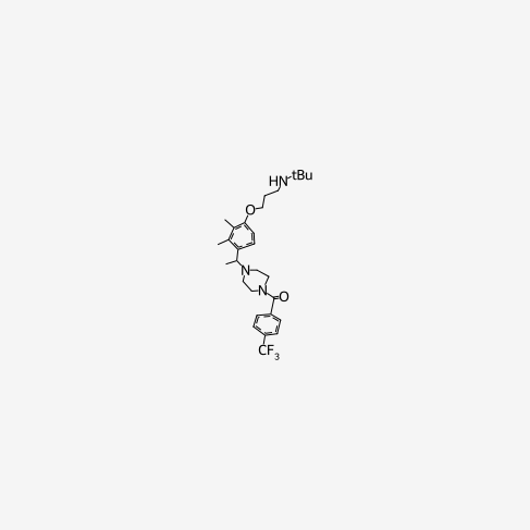 Cc1c(OCCCNC(C)(C)C)ccc(C(C)N2CCN(C(=O)c3ccc(C(F)(F)F)cc3)CC2)c1C